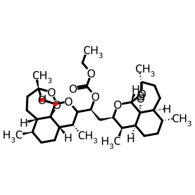 CCOC(=O)O[C@@H](C[C@H]1O[C@@H]2O[C@]3(C)CC[C@H]4[C@H](C)CC[C@@H]([C@H]1C)[C@@]24OO3)C1O[C@@H]2O[C@]3(C)CC[C@H]4[C@H](C)CC[C@@H]([C@H]1C)[C@@]24OO3